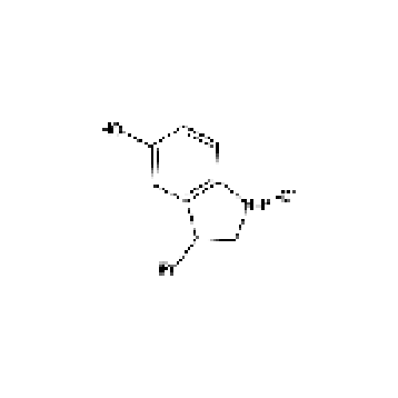 CC(C)C1C[NH+]([O-])c2ccc(O)cc21